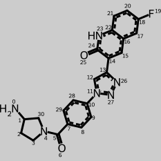 NC1CCN(C(=O)c2ccc(-n3cc(-c4cc5cc(F)ccc5[nH]c4=O)nn3)cc2)C1